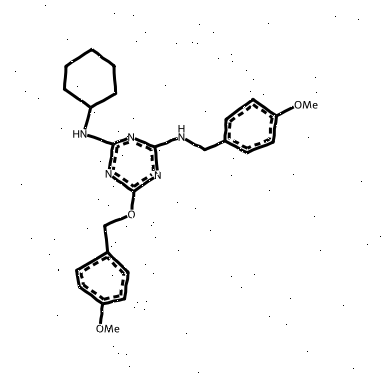 COc1ccc(CNc2nc(NC3CCCCC3)nc(OCc3ccc(OC)cc3)n2)cc1